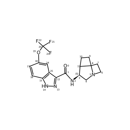 O=C(N[C@@H]1CN2CCC23CCC13)c1n[nH]c2ccc(OC(F)(F)F)cc12